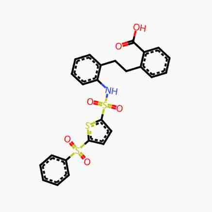 O=C(O)c1ccccc1CCc1ccccc1NS(=O)(=O)c1ccc(S(=O)(=O)c2ccccc2)s1